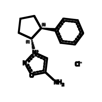 Nc1c[n+]([C@@H]2CCC[C@H]2c2ccccc2)no1.[Cl-]